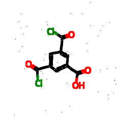 O=C(O)c1cc(C(=O)Cl)cc(C(=O)Cl)c1